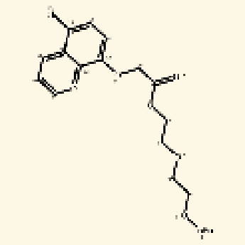 CCCCOCCOCCOC(=O)COc1ccc(Cl)c2cccnc12